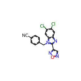 N#Cc1ccc(Cn2c(-c3cnon3)nc3cc(Cl)c(Cl)cc32)cc1